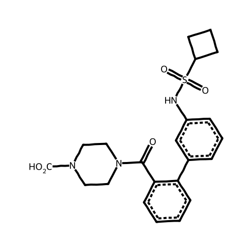 O=C(O)N1CCN(C(=O)c2ccccc2-c2cccc(NS(=O)(=O)C3CCC3)c2)CC1